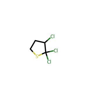 ClC1CCSC1(Cl)Cl